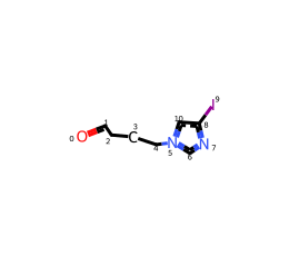 O=CCCCn1cnc(I)c1